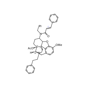 COc1ccc2c3c1OC1C(N(CC(C)C)C(=O)/C=C/c4ccccc4)CC[C@@]4(OC(C)=O)[C@@H](C2)N(CCc2ccccc2)CC[C@]314